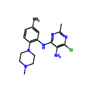 Cc1nc(Cl)c(N)c(Nc2cc([N+](=O)[O-])ccc2N2CCN(C)CC2)n1